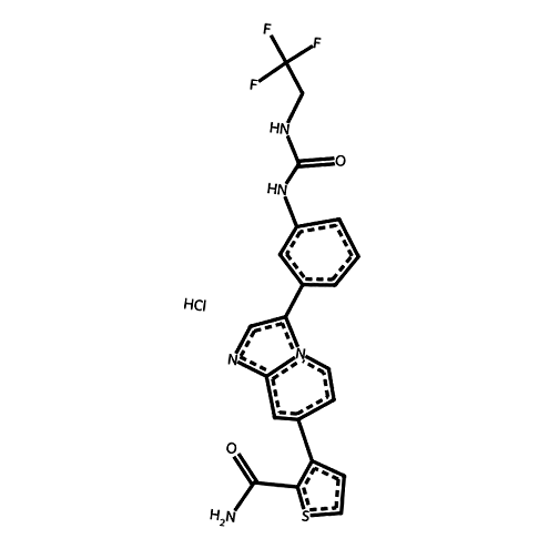 Cl.NC(=O)c1sccc1-c1ccn2c(-c3cccc(NC(=O)NCC(F)(F)F)c3)cnc2c1